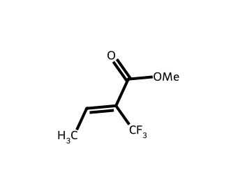 C/C=C(/C(=O)OC)C(F)(F)F